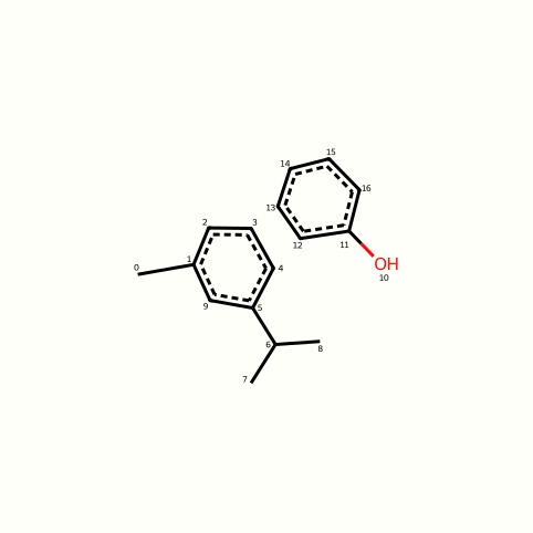 Cc1cccc(C(C)C)c1.Oc1ccccc1